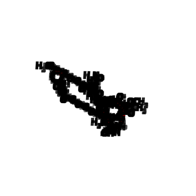 CC[C@H](C)[C@@H]1NC(=O)CNC(=O)[C@H]2Cc3c4[nH]c5cc(ccc35)OC(C(=O)N(C)CCN(CCOCCOCCOCCOCCC(=O)N3CCC(C(=O)NC5CCCCCCCCCC5)CC3)C(=O)OCc3ccc(NC(=O)[C@H](CCCNC(N)=O)NC(=O)CNC(=O)CCOCCOCCOCCOCCOC)cc3)(C(=O)N[C@@H](C[C@@H](O)CO)C(=O)N2)[C@@H]2CCCN2C(=O)[C@H](CC(N)=O)NC(=O)[C@H](CS4)NC(=O)CNC1=O